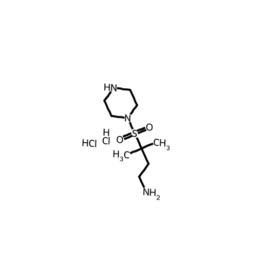 CC(C)(CCN)S(=O)(=O)N1CCNCC1.Cl.Cl